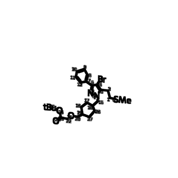 CSCCc1c(Br)c(-c2ccccc2)nn1CC1CCC(COCC(=O)OC(C)(C)C)CC1